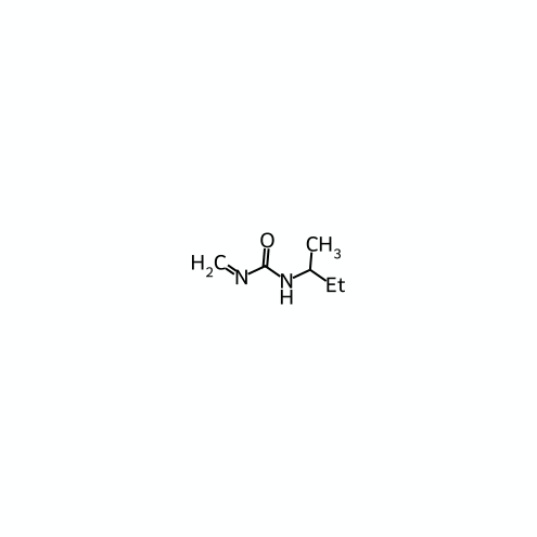 C=NC(=O)NC(C)CC